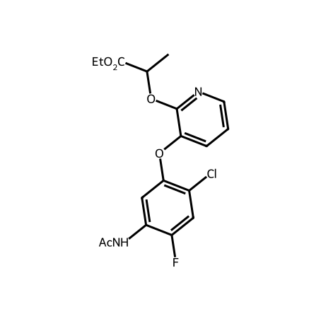 CCOC(=O)C(C)Oc1ncccc1Oc1cc(NC(C)=O)c(F)cc1Cl